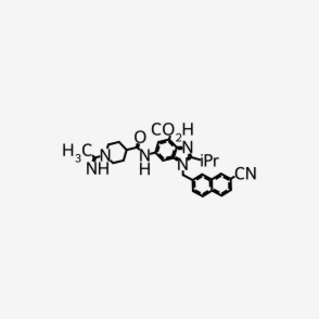 CC(=N)N1CCC(C(=O)Nc2cc(C(=O)O)c3nc(C(C)C)n(Cc4ccc5ccc(C#N)cc5c4)c3c2)CC1